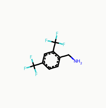 NCc1ccc(C(F)(F)F)cc1C(F)(F)F